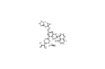 C=C(F)C(=O)N1CCN(c2nc(OCC3(CN4CCCC4)CC3)nc3c2CCN(c2cccc4cccc(Cl)c24)C3)C[C@@H]1CC#N